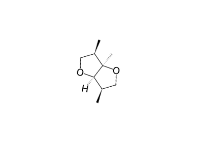 C[C@@H]1CO[C@]2(C)[C@H](C)CO[C@H]12